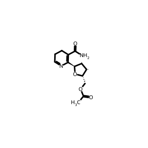 CC(=O)OC[C@H]1[CH][CH][C@H](C2=C(C(N)=O)CCC=N2)O1